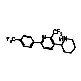 FC(F)(F)c1ccc(-c2c[c]c(C3CCCCN3)c(C(F)(F)F)n2)cc1